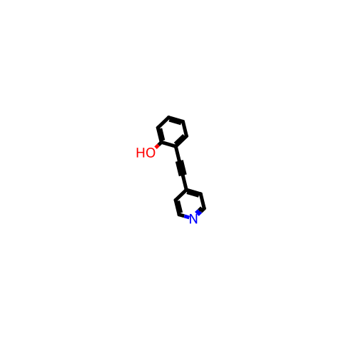 Oc1ccccc1C#Cc1ccncc1